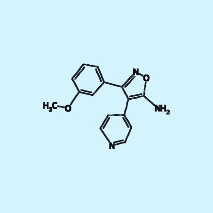 COc1cccc(-c2noc(N)c2-c2ccncc2)c1